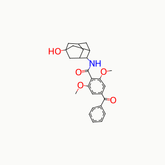 COc1cc(C(=O)c2ccccc2)cc(OC)c1C(=O)NC1C2CC3CC1CC(O)(C3)C2